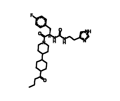 CCCC(=O)C1CCC(C2CCN(C(=O)[C@@H](Cc3ccc(F)cc3)NC(=O)NCCc3c[nH]cn3)CC2)CC1